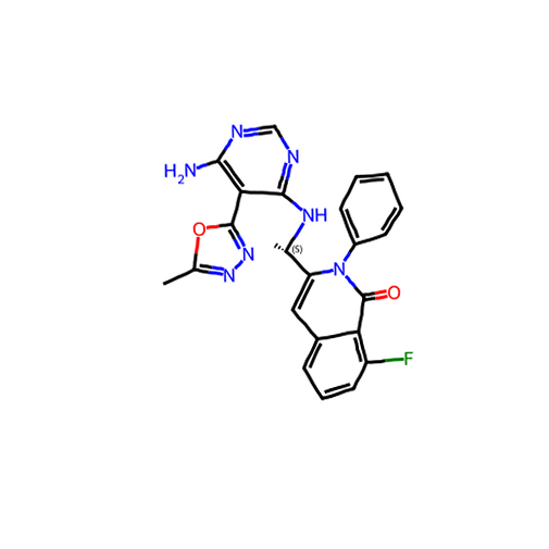 Cc1nnc(-c2c(N)ncnc2N[C@@H](C)c2cc3cccc(F)c3c(=O)n2-c2ccccc2)o1